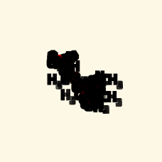 Cc1ncsc1-c1ccc([C@H](C)NC(=O)[C@@H]2C[C@@H](O)CN2C(=O)[C@@H](c2cc(OCN3CCN(CCOc4cc(N5C6CCC5CN(c5cc(-c7ccccc7O)nnc5NC(=O)OCc5ccc(NC(=O)[C@H](CCCNC(N)=O)NC(=O)C7(C(=O)O)CCC7)cc5)C6)ccn4)[C@H](C)C3)no2)C(C)C)cc1